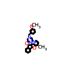 COc1cccc(CN2CCN(C3(c4cc(C)ccn4)C(=O)c4ccccc4C3=O)CC2)c1